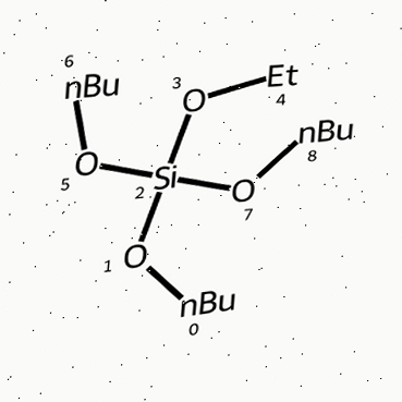 CCCCO[Si](OCC)(OCCCC)OCCCC